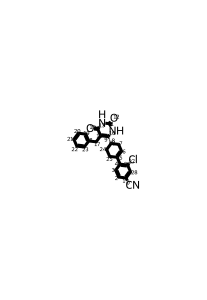 N#Cc1ccc(C2=CC[C@@H](c3[nH]c(=O)[nH]c(=O)c3Cc3ccccc3)CC2)c(Cl)c1